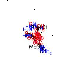 CCC(=O)N(CC)C[C@H]1[C@@H](O)[C@H](n2c[n+](C)c3c(=O)[nH]c(N)nc32)O[C@@H]1COP(=O)(O)OP(=O)(O)OP(=O)(O)OCC1O[C@@H](n2cnc3c(N)ncnc32)[C@H](OC)[C@@H]1OP(=O)([O-])OC[C@H]1O[C@@H](n2ccc(=O)[nH]c2=O)[C@H](O)[C@@H]1O